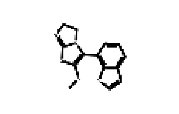 CSC1=C(c2cccc3ccsc23)N2CCN=C2S1